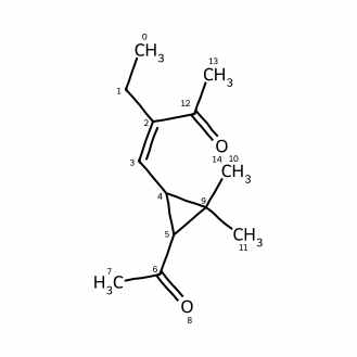 CCC(=CC1C(C(C)=O)C1(C)C)C(C)=O